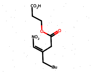 CCC(C)CC(=C[N+](=O)[O-])CC(=O)OCCC(=O)O